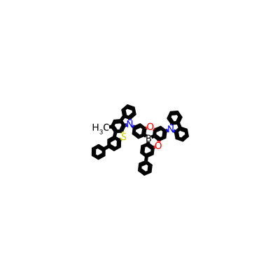 Cc1cc2c3ccccc3n(-c3ccc4c(c3)Oc3cc(-n5c6ccccc6c6ccccc65)cc5c3B4c3ccc(-c4ccccc4)cc3O5)c2c2sc3ccc(-c4ccccc4)cc3c12